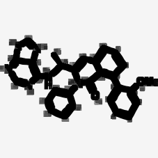 COc1ccccc1-c1cccc2cc([C@H](C)Nc3ncnc4scnc34)n(-c3ccccc3)c(=O)c12